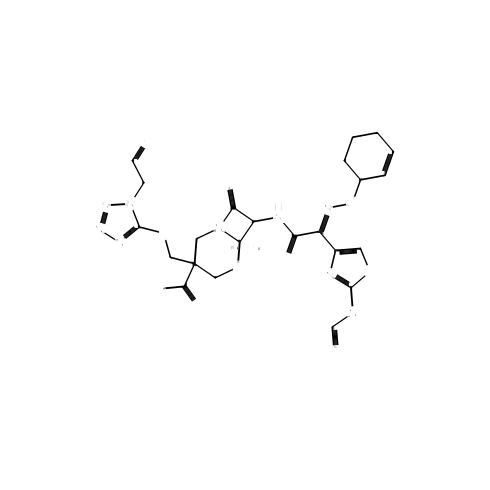 C=CCn1nnnc1SCC1(C(=O)O)CS[C@@H]2C(NC(=O)C(=NOC3C=CCCC3)c3csc(NC=O)n3)C(=O)N2C1